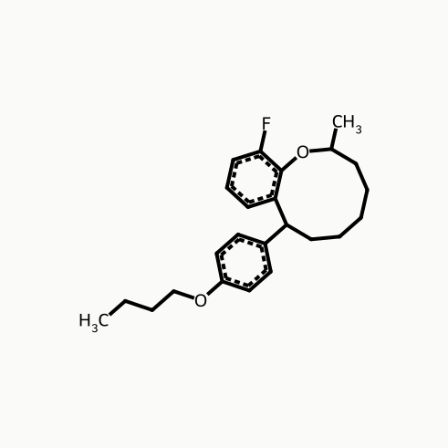 CCCCOc1ccc(C2CCCCCC(C)Oc3c(F)cccc32)cc1